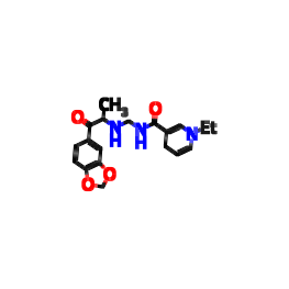 CCN1C=CCC(C(=O)NCNC(C)C(=O)c2ccc3c(c2)OCO3)=C1